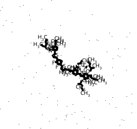 CCCCC(CC)COc1c2cc(C(C)(C)C(C)(C)C)sc2c(OCC(CC)CCCC)c2cc(-c3ccc(C(C)(C)C(C)(C)c4ccc(-c5ccc(-c6ccc(-c7ccc(C(C)(C)C(C)(C)C)c8nn(CC(CC)CCCC)nc78)s6)c(F)c5F)s4)c4nn(CC(CC)CCCC)nc34)sc12